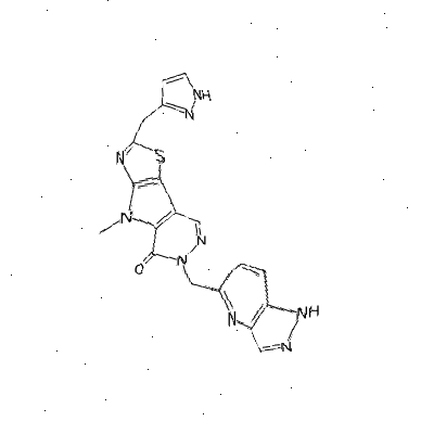 Cn1c2nc(Cc3cc[nH]n3)sc2c2cnn(Cc3ccc4[nH]ncc4n3)c(=O)c21